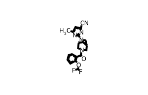 Cc1cc(C#N)nc(N2CC3CC2CN(C(=O)c2ccccc2OC(F)F)C3)n1